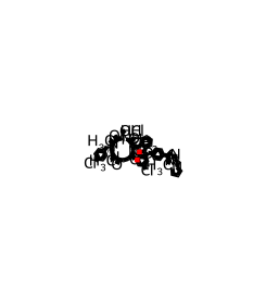 CN1C[C@@H](Cc2ccc(Cl)cc2)N(C)C(=O)[C@H](CO)NC(=O)[C@](C)([C@@H]2CCc3ccccc32)N(Cc2ccc(Cl)cc2Oc2ccc(-c3cnc(CN4CCCC4)n3C)cc2)C(=O)CCC1=O.Cl